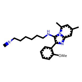 C#[N+]CCCCCCNc1c(-c2ccccc2OC)nc2cc(C)cc(C)n12